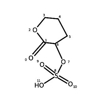 O=C1OCCCC1OS(=O)(=O)O